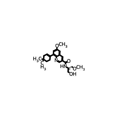 COC[C@H](CO)NC(=O)c1cnc2c(C3=CCC(C)(C)CC3)cc(OC)cc2c1